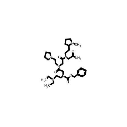 CCN(CC)CCN(CC(=O)N(CCN1CCCC1)CC(=O)N(CCC1CCCN1C)CC(N)=O)C(=O)OCc1ccccc1